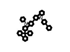 c1ccc(-c2ccc(-n3c4ccccc4c4ccc(-c5ccc6c7cc(C8(c9ccccc9)c9ccccc9-c9ccccc98)ccc7n(-c7ccccc7)c6c5)cc43)cc2)cc1